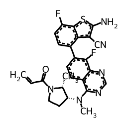 C=CC(=O)N1CC[C@@H](N(C)c2ncnc3c(F)c(-c4ccc(F)c5sc(N)c(C#N)c45)ccc23)[C@H]1C